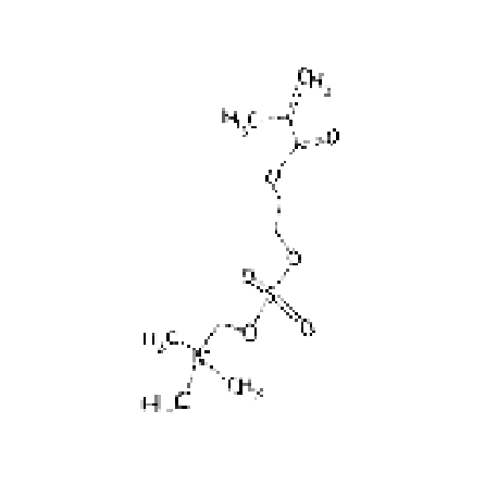 C=C(C)C(=O)OCCOS(=O)(=O)OC[N+](C)(C)C